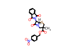 CC1(C(=O)OCc2ccc([N+](=O)[O-])cc2)CS[C@@H]2C(N3C(=O)c4ccccc4C3=O)C(=O)N2C1